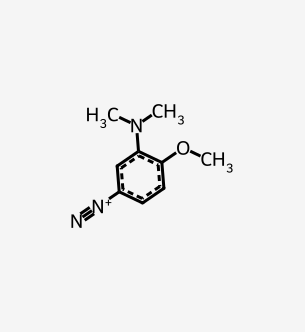 COc1ccc([N+]#N)cc1N(C)C